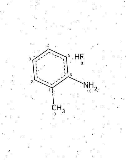 Cc1ccccc1N.F